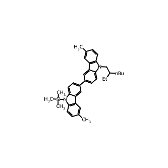 CCCCC(CC)Cn1c2ccc(C)cc2c2cc(-c3ccc4c(c3)c3cc(C)ccc3n4[Si](C)(C)C)ccc21